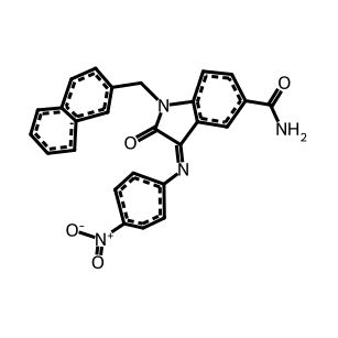 NC(=O)c1ccc2c(c1)C(=Nc1ccc([N+](=O)[O-])cc1)C(=O)N2Cc1ccc2ccccc2c1